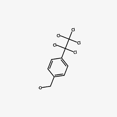 [O]Cc1ccc(C(Cl)(Cl)C(Cl)(Cl)Cl)cc1